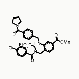 CCOC(=O)CN(Cc1ccc(C(=O)OC)cc1NCc1ccc(C(=O)N2CC=CC2)cc1)C(=O)c1ccc(Cl)cc1